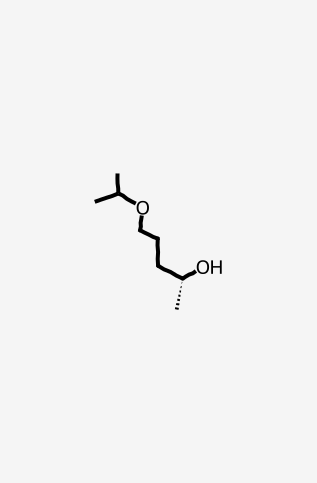 CC(C)OCCC[C@@H](C)O